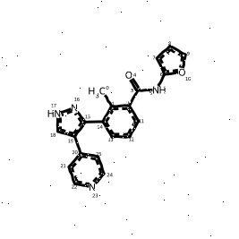 Cc1c(C(=O)Nc2ccco2)cccc1-c1n[nH]cc1-c1ccncc1